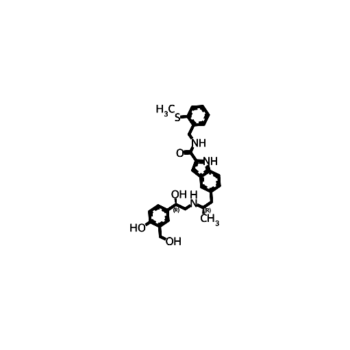 CSc1ccccc1CNC(=O)c1cc2cc(C[C@@H](C)NC[C@H](O)c3ccc(O)c(CO)c3)ccc2[nH]1